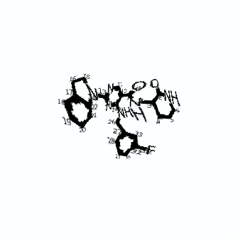 O=C(NC1CCCNC1=O)c1cnc(N2CCc3ccccc32)nc1NCc1cccc(F)c1